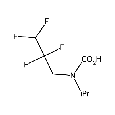 CC(C)N(CC(F)(F)C(F)F)C(=O)O